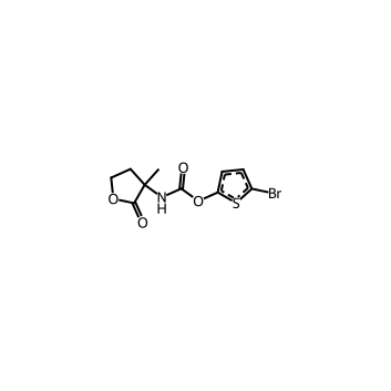 CC1(NC(=O)Oc2ccc(Br)s2)CCOC1=O